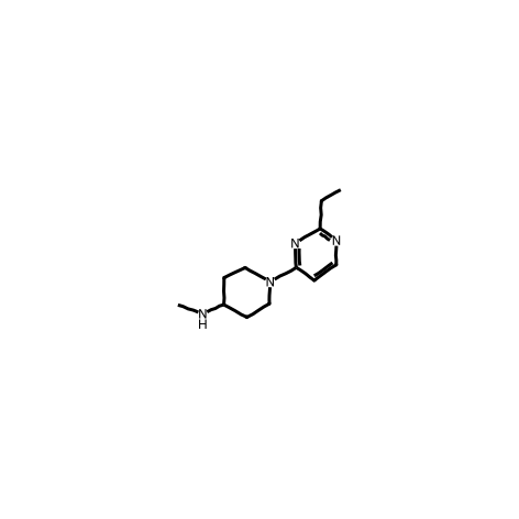 CCc1nccc(N2CCC(NC)CC2)n1